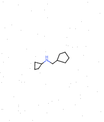 [CH]1CCC1NCC1CCCC1